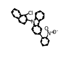 O=[N+]([O-])c1ccccc1-c1ccc2c(c1)c1ccccc1n2-c1ccc2ccccc2c1Cl